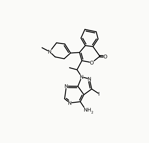 CC(c1oc(=O)c2ccccc2c1C1=CCN(C)CC1)n1nc(I)c2c(N)ncnc21